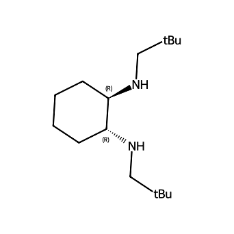 CC(C)(C)CN[C@@H]1CCCC[C@H]1NCC(C)(C)C